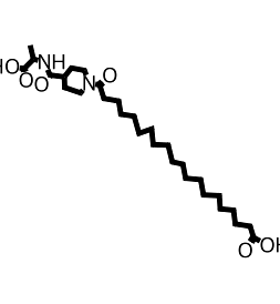 CC(NC(=O)C1CCN(C(=O)CCCCCCCCCCCCCCCCCCC(=O)O)CC1)C(=O)O